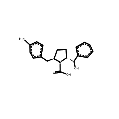 Nc1ccc(C[C@H]2CC[C@H](C(O)c3ccccc3)N2C(=O)O)cc1